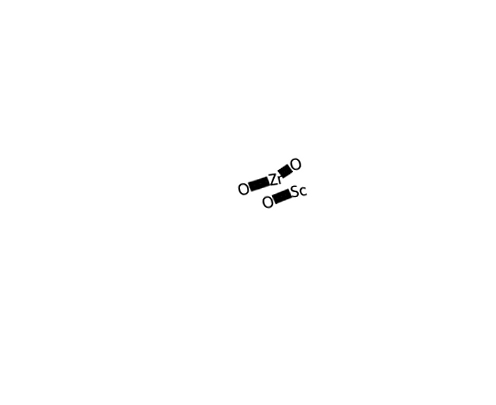 [O]=[Sc].[O]=[Zr]=[O]